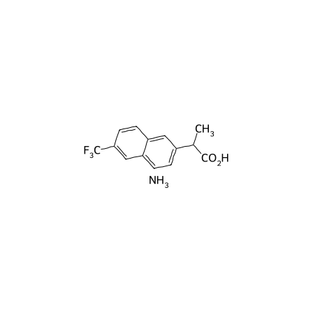 CC(C(=O)O)c1ccc2cc(C(F)(F)F)ccc2c1.N